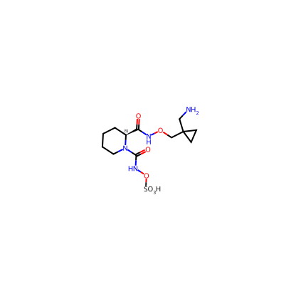 NCC1(CONC(=O)[C@@H]2CCCCN2C(=O)NOS(=O)(=O)O)CC1